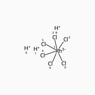 [Cl][Rh-3]([Cl])([Cl])([Cl])([Cl])[Cl].[H+].[H+].[H+]